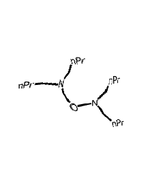 CCCN(CCC)ON(CCC)CCC